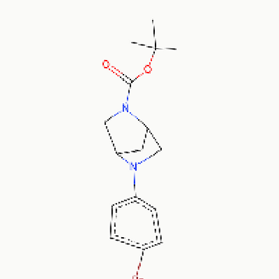 CC(C)(C)OC(=O)N1CC2CC1CN2c1ccc(Br)cc1